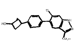 O=C(O)c1n[nH]c2cc(Cl)c(-c3ccc(C4CC(O)C4)cc3)cc12